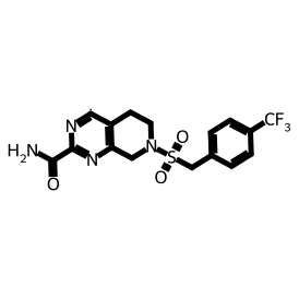 NC(=O)c1n[c]c2c(n1)CN(S(=O)(=O)Cc1ccc(C(F)(F)F)cc1)CC2